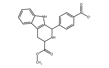 COC(=O)C1Cc2c([nH]c3ccccc23)C(c2ccc([N+](=O)[O-])cc2)N1